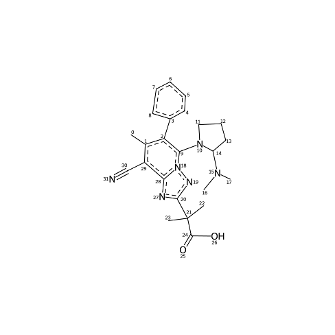 Cc1c(-c2ccccc2)c(N2CCCC2N(C)C)n2nc(C(C)(C)C(=O)O)nc2c1C#N